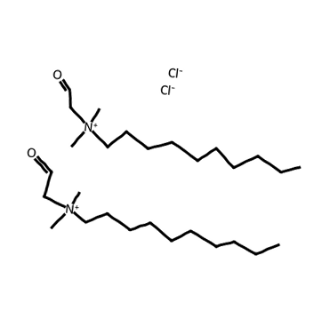 CCCCCCCCCC[N+](C)(C)CC=O.CCCCCCCCCC[N+](C)(C)CC=O.[Cl-].[Cl-]